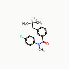 CN(C(=O)c1cccc(CC(C)(C)C)c1)c1ccc(F)cc1